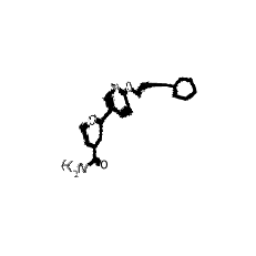 NC(=O)C1CCOC(c2ccc(OCCC3CCCCC3)nc2)C1